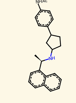 CC(=O)Nc1ccc(C2CCC(N[C@H](C)c3cccc4ccccc34)C2)cc1